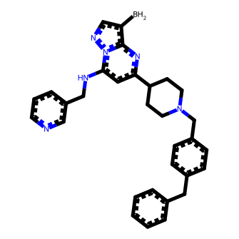 Bc1cnn2c(NCc3cccnc3)cc(C3CCN(Cc4ccc(Cc5ccccc5)cc4)CC3)nc12